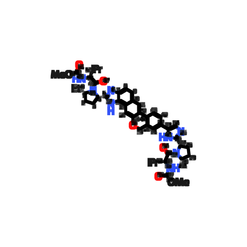 CC[C@H]1CC[C@@H](c2nc3ccc4cc5c(cc4c3[nH]2)OCc2cc(-c3cnc([C@@H]4CC[C@H](C)N4C(=O)[C@@H](NC(=O)OC)C(C)C)[nH]3)ccc2-5)N1C(=O)[C@@H](NC(=O)OC)C(C)C